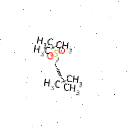 CC(C)(C)C#CCCS(=O)(=O)C(C)(C)C